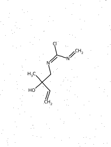 C=CC(C)(O)C/N=C(/Cl)N=C